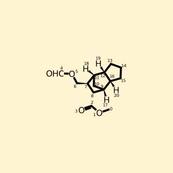 COC=O.O=COC[C@@H]1C[C@@H]2C[C@H]1[C@@H]1CCC[C@H]21